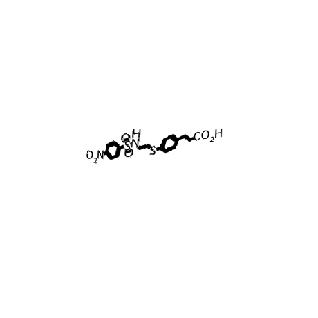 O=C(O)CCc1ccc(SCCNS(=O)(=O)c2ccc([N+](=O)[O-])cc2)cc1